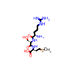 CSCC[C@H](NC(=O)[C@H](CO)NC(=O)[C@@H](N)CCCNC(=N)N)C(=O)O